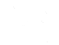 CN(C)CCC1C(=O)c2cncn3c2c(c2c4ccccc4c(Br)cc23)C1=O.Cl